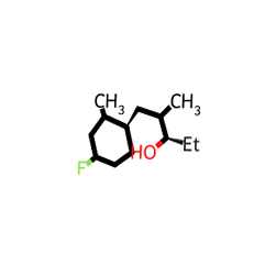 CC[C@@H](O)C(C)C[C@H]1CCC(F)CC1C